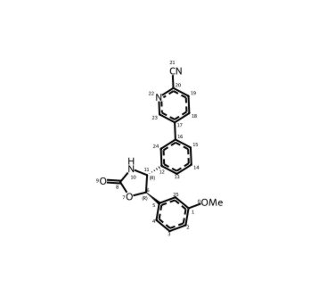 COc1cccc([C@H]2OC(=O)N[C@@H]2c2cccc(-c3ccc(C#N)nc3)c2)c1